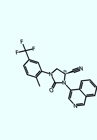 Cc1ccc(C(F)(F)F)cc1N1C[C@@H](C#N)N(c2cncc3ccccc23)C1=O